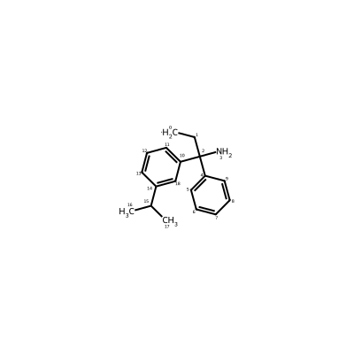 [CH2]CC(N)(c1ccccc1)c1cccc(C(C)C)c1